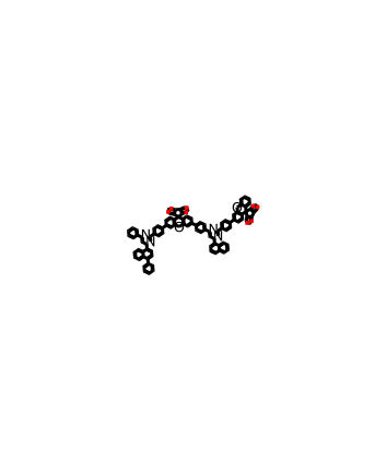 c1ccc(-c2cc(-c3ccc(-c4ccccc4)c4ccccc34)nc(-c3ccc(-c4ccc5c(c4)Oc4cc(-c6ccc(-c7cc(-c8cccc9ccccc89)nc(-c8ccc(-c9ccc%10c(c9)Oc9ccccc9C%109c%10ccccc%10-c%10ccccc%109)cc8)n7)cc6)ccc4C54c5ccccc5-c5ccccc54)cc3)n2)cc1